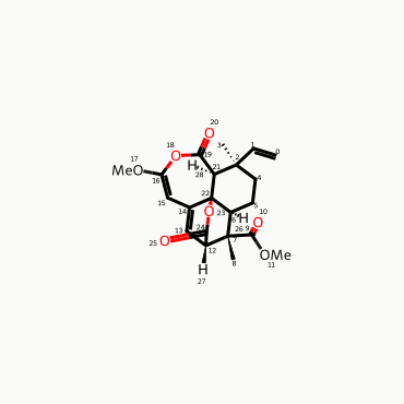 C=C[C@@]1(C)CC[C@H]2[C@](C)(C(=O)OC)[C@@H]3C=C4C=C(OC)OC(=O)[C@@H]1[C@@]42OC3=O